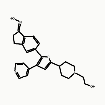 OCCN1CCC(c2cc(-c3ccncc3)c(-c3ccc4c(c3)CC/C4=N\O)o2)CC1